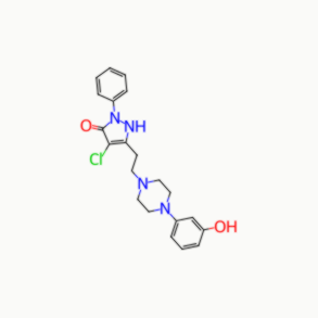 O=c1c(Cl)c(CCN2CCN(c3cccc(O)c3)CC2)[nH]n1-c1ccccc1